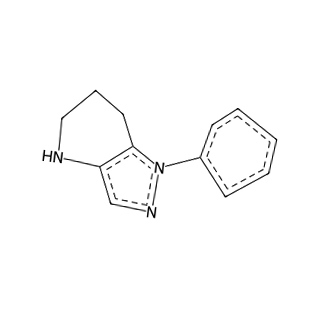 c1ccc(-n2ncc3c2CCCN3)cc1